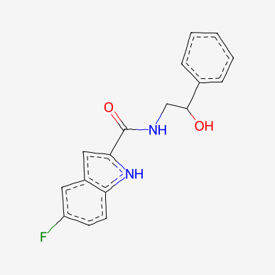 O=C(NCC(O)c1ccccc1)c1cc2cc(F)ccc2[nH]1